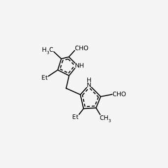 CCc1c(Cc2[nH]c(C=O)c(C)c2CC)[nH]c(C=O)c1C